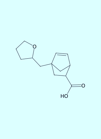 O=C(O)C1CC2(CC3CCCO3)C=CC1C2